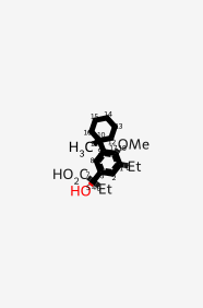 CCc1cc(C(O)(CC)C(=O)O)cc(C2(C)CCCCC2)c1OC